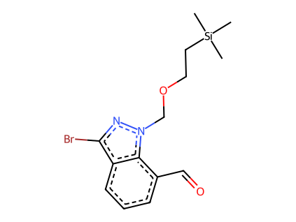 C[Si](C)(C)CCOCn1nc(Br)c2cccc(C=O)c21